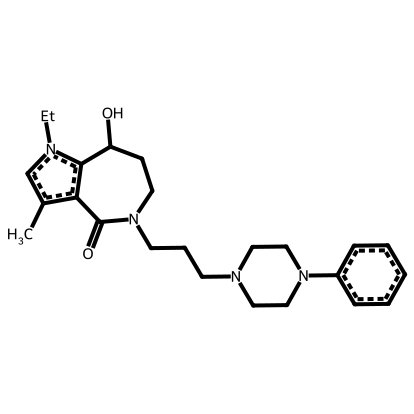 CCn1cc(C)c2c1C(O)CCN(CCCN1CCN(c3ccccc3)CC1)C2=O